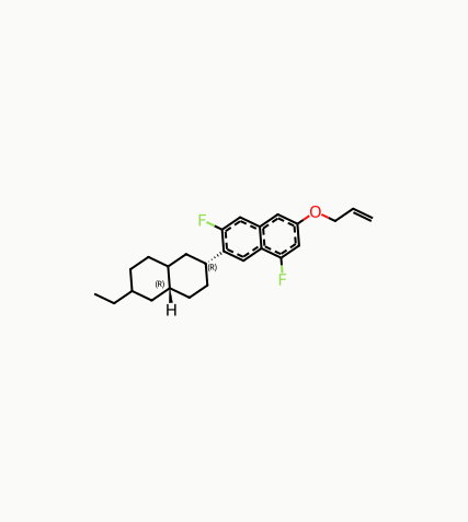 C=CCOc1cc(F)c2cc([C@@H]3CC[C@@H]4CC(CC)CCC4C3)c(F)cc2c1